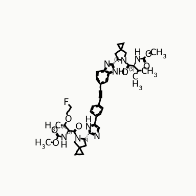 COC(=O)N[C@H](C(=O)N1CC2(CC2)C[C@H]1c1nc2ccc(C#Cc3ccc(-c4cnc([C@@H]5CC6(CC6)CN5C(=O)[C@@H](NC(=O)OC)[C@@H](C)OCCF)[nH]4)cc3)cc2[nH]1)C(C)C